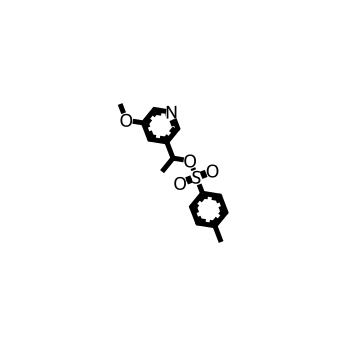 COc1cncc(C(C)OS(=O)(=O)c2ccc(C)cc2)c1